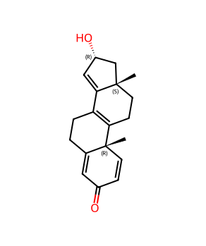 C[C@@]12CCC3=C(CCC4=CC(=O)C=C[C@]43C)C1=C[C@H](O)C2